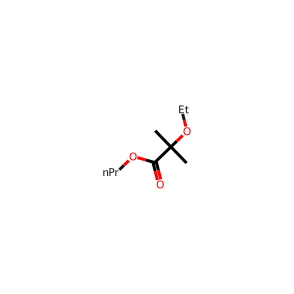 CCCOC(=O)C(C)(C)OCC